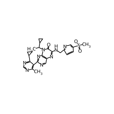 Cc1ncnc(C2CC2)c1-c1ncc2nc(NCc3ccc(S(C)(=O)=O)cn3)c(=O)n(C(C)C3CC3)c2n1